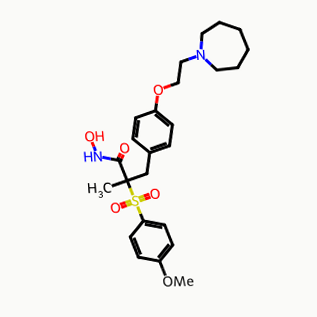 COc1ccc(S(=O)(=O)C(C)(Cc2ccc(OCCN3CCCCCC3)cc2)C(=O)NO)cc1